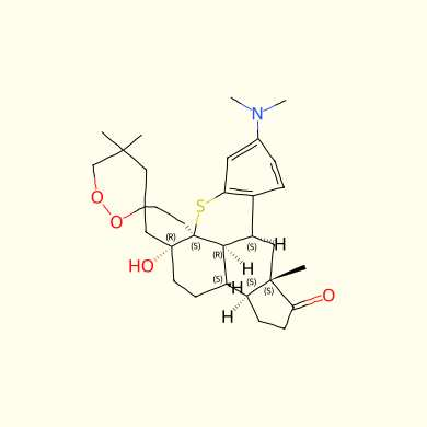 CN(C)c1ccc2c(c1)S[C@]13CCC4(CC(C)(C)COO4)C[C@]1(O)CC[C@@H]1[C@@H]3[C@@H]2C[C@]2(C)C(=O)CC[C@@H]12